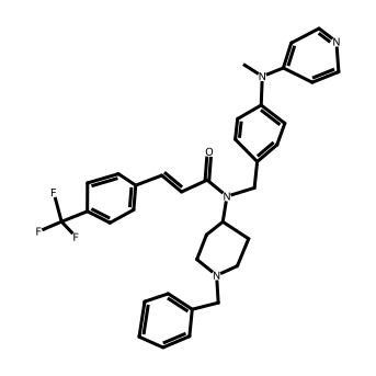 CN(c1ccncc1)c1ccc(CN(C(=O)C=Cc2ccc(C(F)(F)F)cc2)C2CCN(Cc3ccccc3)CC2)cc1